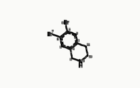 Brc1cc2c(cc1Br)CNCC2